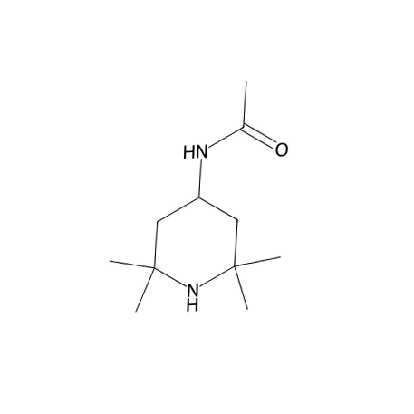 CC(=O)NC1CC(C)(C)NC(C)(C)C1